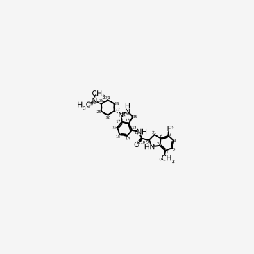 Cc1ccc(F)c2c1NC(C(=O)Nc1cccc3c1CNN3[C@H]1CC[C@H](N(C)C)CC1)C2